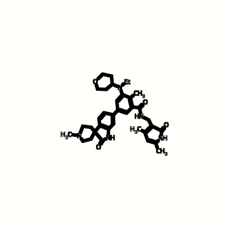 CCN(c1cc(-c2ccc3c(c2)NC(=O)C32CCN(C)CC2)cc(C(=O)NCc2c(C)cc(C)[nH]c2=O)c1C)C1CCOCC1